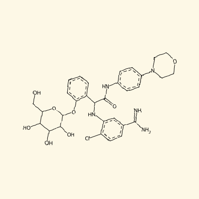 N=C(N)c1ccc(Cl)c(NC(C(=O)Nc2ccc(N3CCOCC3)cc2)c2ccccc2OC2OC(CO)C(O)C(O)C2O)c1